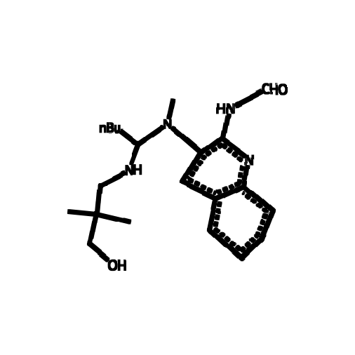 CCCCC(NCC(C)(C)CO)N(C)c1cc2ccccc2nc1NC=O